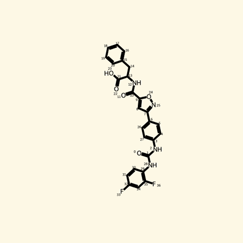 O=C(Nc1ccc(-c2cc(C(=O)NC(Cc3ccccc3)C(=O)O)on2)cc1)Nc1ccc(F)cc1F